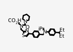 CCC(CC)c1ccc(N(Cc2ccc(-c3csc(CN(CC(=O)O)C(=O)N4CCCCC4)n3)cc2)C(C)C)cc1